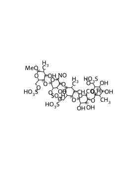 CO[C@H]1OC(COS(=O)(=O)O)[C@@H](O[C@@H]2O[C@@H](N=O)[C@@H](O[C@H]3OC(COS(=O)(=O)O)[C@@H](O[C@@H]4OC(C(=O)O)[C@@H](O[C@H]5OC(COS(=O)(=O)O)[C@@H](O)[C@H](O)C5C)[C@H](O)C4O)[C@H](C)C3C)C(O)C2OS(=O)(=O)O)[C@H](O)C1C